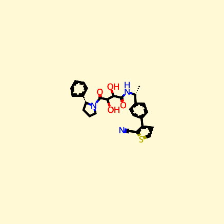 C[C@@H](NC(=O)C(O)C(O)C(=O)N1CCC[C@@H]1c1ccccc1)c1ccc(-c2ccsc2C#N)cc1